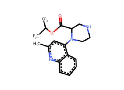 Cc1cc(N2CCNCC2C(=O)OC(C(F)(F)F)C(F)(F)F)c2ccccc2n1